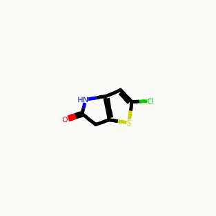 O=C1Cc2sc(Cl)cc2N1